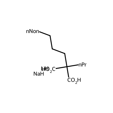 CCCCCCCCCCCCC(CCC)(C(=O)O)C(=O)O.[LiH].[NaH]